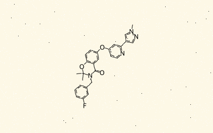 Cn1cc(-c2cc(Oc3ccc4c(c3)C(=O)N(Cc3cccc(F)c3)C(C)(C)O4)ccn2)cn1